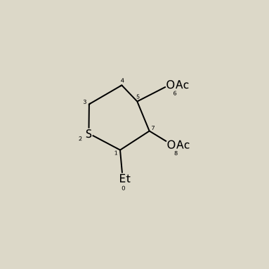 CCC1SCCC(OC(C)=O)C1OC(C)=O